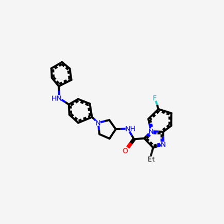 CCc1nc2ccc(F)cn2c1C(=O)NC1CCN(c2ccc(Nc3ccccc3)cc2)C1